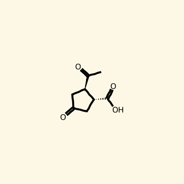 CC(=O)[C@@H]1CC(=O)C[C@H]1C(=O)O